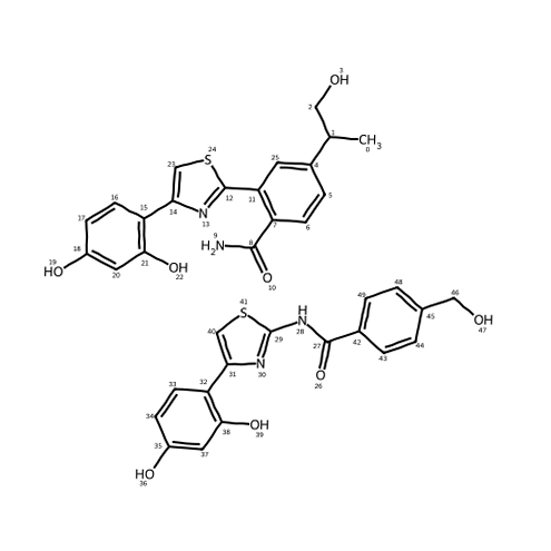 CC(CO)c1ccc(C(N)=O)c(-c2nc(-c3ccc(O)cc3O)cs2)c1.O=C(Nc1nc(-c2ccc(O)cc2O)cs1)c1ccc(CO)cc1